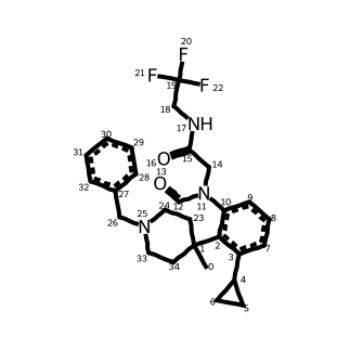 CC1(c2c(C3CC3)cccc2N(C=O)CC(=O)NCC(F)(F)F)CCN(Cc2ccccc2)CC1